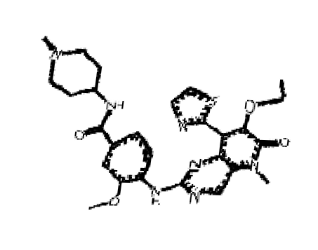 CCOc1c(-c2nccs2)c2nc(Nc3ccc(C(=O)NC4CCN(C)CC4)cc3OC)ncc2n(C)c1=O